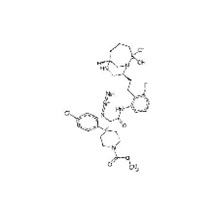 COC(=O)N1CCC(c2ccc(Cl)cc2)([C@H](N=[N+]=N)C(=O)Nc2cccc(F)c2CC[C@H]2CN[C@@H]3CCCS([O-])(O)N2C3)CC1